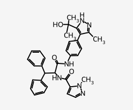 Cc1n[nH]c(C(C)(C)O)c1-c1ccc(NC(=O)C(NC(=O)c2ccnn2C)C(c2ccccc2)c2ccccc2)cc1